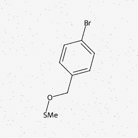 CSOCc1ccc(Br)cc1